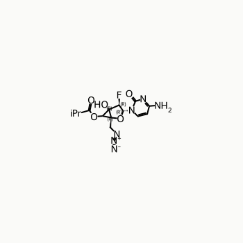 CC(C)C(=O)OC1[C@@]2(CN=[N+]=[N-])O[C@@H](n3ccc(N)nc3=O)[C@H](F)[C@@]12O